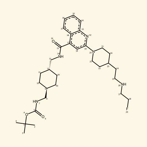 CC(C)(C)OC(=O)NC[C@H]1CC[C@H](CNC(=O)c2cc(N3CCC(CCNCCF)CC3)nc3ccccc23)CC1